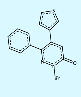 CC(C)n1nc(-c2ccccc2)c(-c2ccsc2)cc1=O